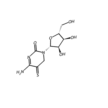 NC1=NC(=O)N([C@@H]2O[C@H](CO)[C@@H](O)[C@H]2O)CC1=S